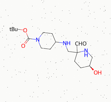 CC(C)(C)OC(=O)N1CCC(NCC2(C=O)CC[C@H](O)CN2)CC1